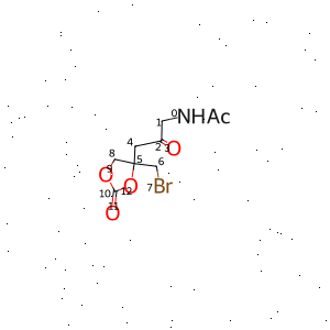 CC(=O)NCC(=O)CC1(CBr)COC(=O)O1